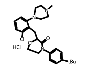 CN1CCN(c2cccc(Cl)c2CC2OCCN(c3ccc(C(C)(C)C)cc3)C2=O)CC1.Cl